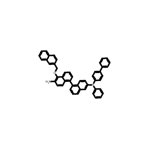 Nc1ccc2c(-c3cccc4cc(N(c5ccccc5)c5ccc(-c6ccccc6)cc5)ccc34)cccc2c1OCc1ccc2ccccc2c1